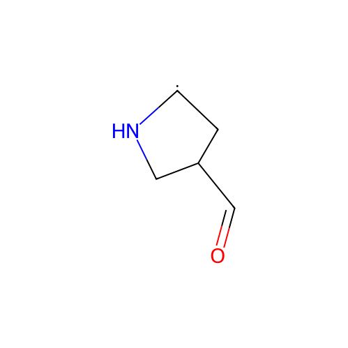 O=CC1C[CH]NC1